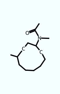 CC(=O)N(C)C1CCCCCCC(C)CC1